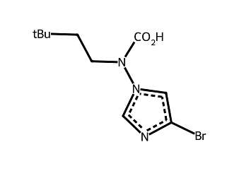 CC(C)(C)CCN(C(=O)O)n1cnc(Br)c1